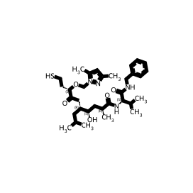 Cc1cc(C)n(CO[C@@H](CCS)C(=O)C[C@@H](CC(C)C)[C@@H](O)C[C@@H](C)C(=O)N[C@H](C(=O)NCc2ccccc2)C(C)C)n1